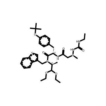 CCNC(=O)NN(C)CC(=O)N[C@@H](Cc1ccc(OC(C)(C)C)cc1)C(=O)N(Cc1csc2ccccc12)[C@@H](C)C(OCC)OCC